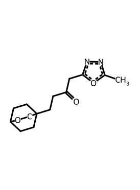 Cc1nnc(CC(=O)CCC23CCC(CC2)OC3)o1